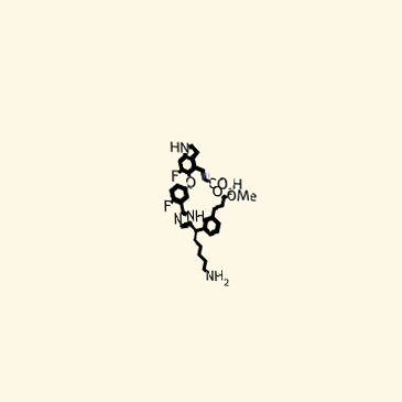 COC(=O)CCc1cccc(C(CCCCCN)c2cnc(-c3cc(Oc4c(F)cc5[nH]ccc5c4/C=C/C(=O)O)ccc3F)[nH]2)c1